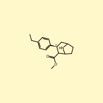 CCc1ccc([C@H]2CC3CCC(N3)C2C(=O)OC)cc1